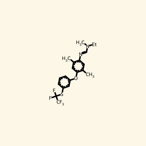 CCN(C)C=Nc1cc(C)c(Oc2cccc(SC(F)(F)C(F)(F)F)c2)cc1C